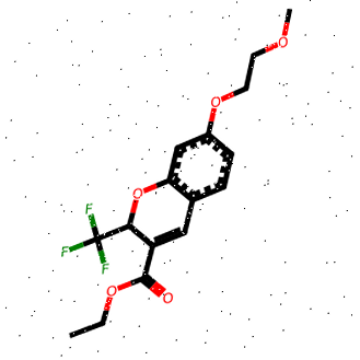 CCOC(=O)C1=Cc2ccc(OCCOC)cc2OC1C(F)(F)F